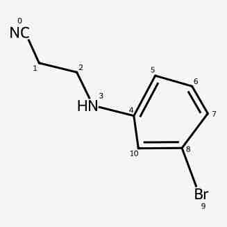 N#CCCNc1cccc(Br)c1